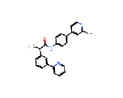 Cc1cc(-c2ccc(NC(=O)C(C)c3cccc(-c4ccccn4)c3)cc2)ccn1